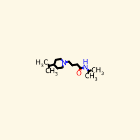 CC(C)NC(=O)CCCN1CCC(C(C)C)CC1